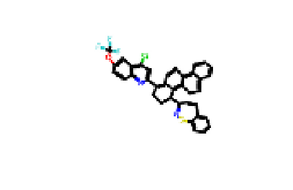 FC(F)(F)Oc1ccc2nc(C3=c4ccc5c(c4C(C4=NSc6ccccc6C=C4)CC3)CC=c3ccccc3=5)cc(Cl)c2c1